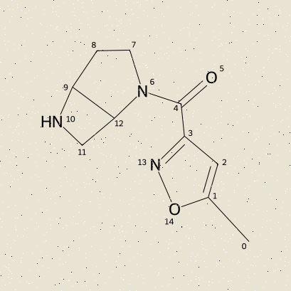 Cc1cc(C(=O)N2CCC3NCC32)no1